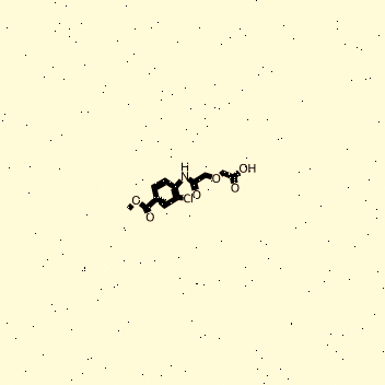 COC(=O)c1ccc(NC(=O)COCC(=O)O)c(Cl)c1